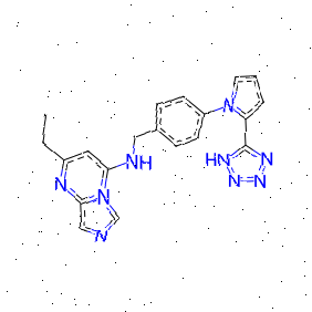 CCc1cc(NCc2ccc(-n3cccc3-c3nnn[nH]3)cc2)n2cncc2n1